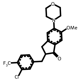 COc1cc2c(cc1N1CCOCC1)CC(Cc1ccc(C(F)(F)F)c(Cl)c1)C2=O